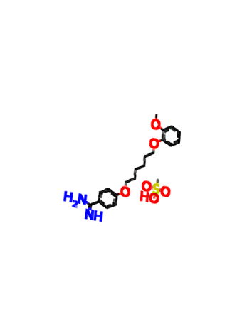 COc1ccccc1OCCCCCCOc1ccc(C(=N)N)cc1.CS(=O)(=O)O